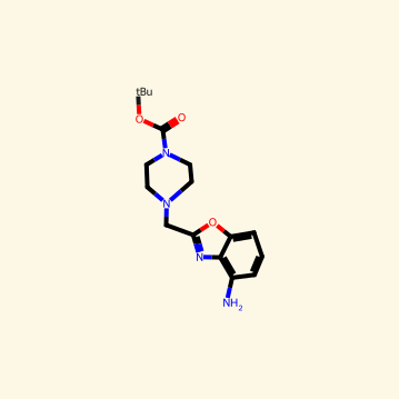 CC(C)(C)OC(=O)N1CCN(Cc2nc3c(N)cccc3o2)CC1